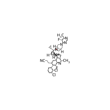 Cc1ncnc(N2C[C@@H]3C[C@H](C2)N(C(=O)C2CC2)[C@H]3c2cc3c(C)nc4c(F)c(-c5cccc(Cl)c5Cl)c(CCC#N)cc4c3n2[C@H]2[C@H]3CN[C@@H]2C3)c1F